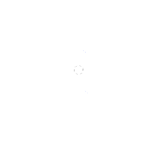 CN(C)CCc1cc(OC2CCNCC2)ccc1C(=O)O